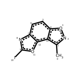 Cc1noc2ccc3nc(I)oc3c12